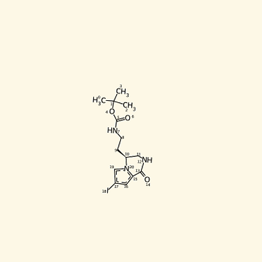 CC(C)(C)OC(=O)NCC[C@H]1CNC(=O)c2cc(I)cn21